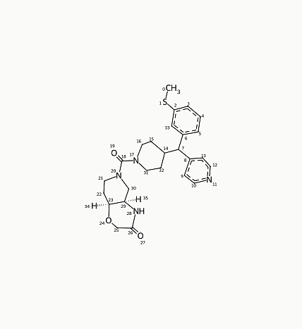 CSc1cccc(C(c2ccncc2)C2CCN(C(=O)N3CC[C@@H]4OCC(=O)N[C@@H]4C3)CC2)c1